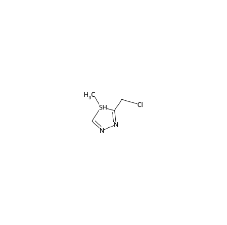 C[SH]1C=NN=C1CCl